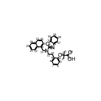 CC(C)(Oc1ccccc1CCN(Cc1cccc2ccccc12)c1nc2ccccc2o1)C(=O)O